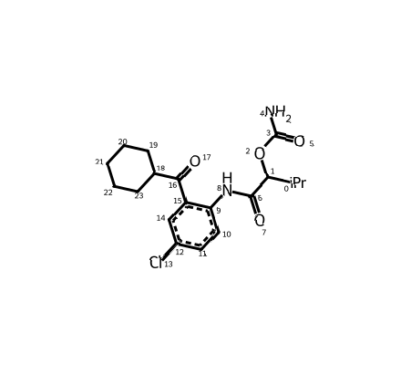 CC(C)C(OC(N)=O)C(=O)Nc1ccc(Cl)cc1C(=O)C1CCCCC1